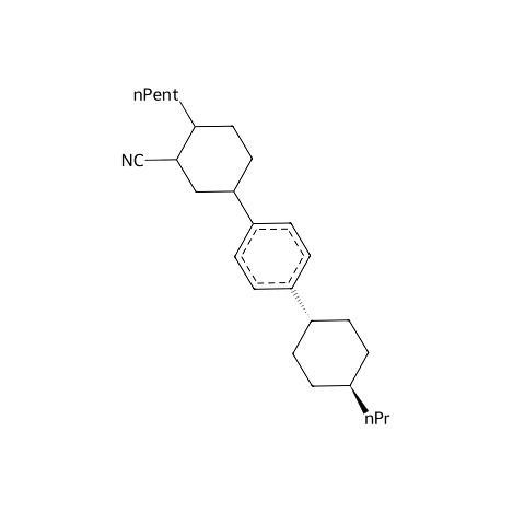 CCCCCC1CCC(c2ccc([C@H]3CC[C@H](CCC)CC3)cc2)CC1C#N